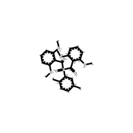 COc1cccc(OC)c1C(=O)P(=O)(C(=O)c1c(OC)cccc1OC)c1cc(C)ccc1C